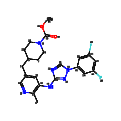 Cc1ncc(CC2CCN(C(=O)OC(C)(C)C)CC2)cc1Nc1ncn(-c2cc(F)cc(F)c2)n1